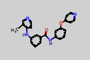 Cc1cnccc1Nc1cccc(C(=O)Nc2cccc(Oc3ccncc3)c2)c1